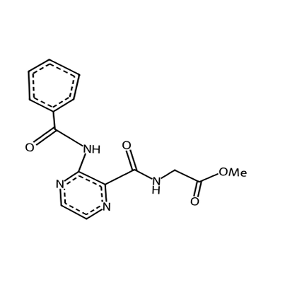 COC(=O)CNC(=O)c1nccnc1NC(=O)c1ccccc1